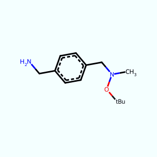 CN(Cc1ccc(CN)cc1)OC(C)(C)C